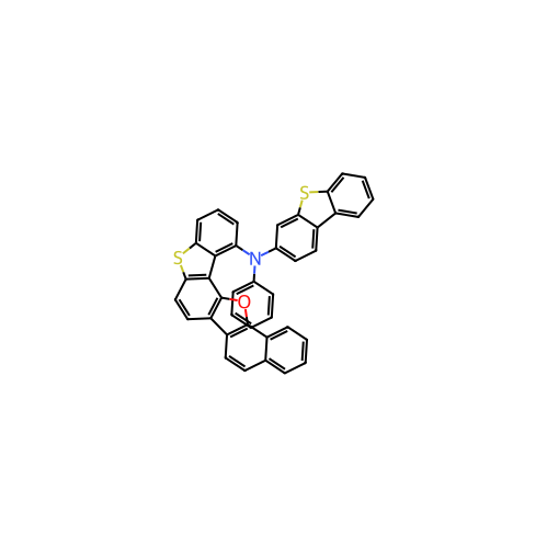 c1ccc(N(c2ccc3c(c2)sc2ccccc23)c2cccc3sc4ccc5c6ccc7ccccc7c6oc5c4c23)cc1